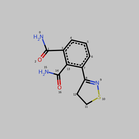 NC(=O)c1cccc(C2=NSCC2)c1C(N)=O